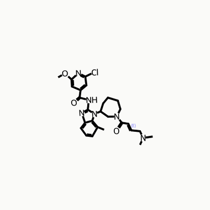 COc1cc(C(=O)Nc2nc3cccc(C)c3n2C2CCCCN(C(=O)/C=C/CN(C)C)C2)cc(Cl)n1